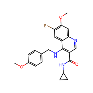 COc1ccc(CNc2c(C(=O)NC3CC3)cnc3cc(OC)c(Br)cc23)cc1